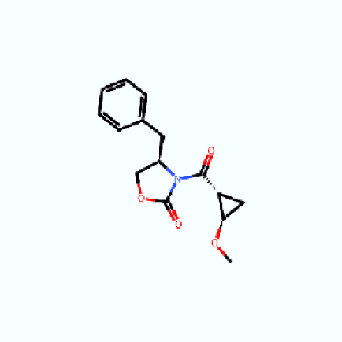 CO[C@@H]1C[C@H]1C(=O)N1C(=O)OC[C@H]1Cc1ccccc1